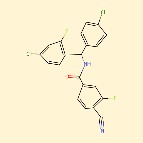 N#Cc1ccc(C(=O)N[C@@H](c2ccc(Cl)cc2)c2ccc(Cl)cc2F)cc1F